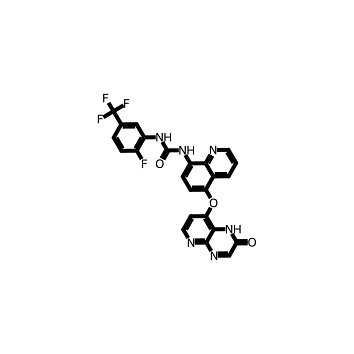 O=C(Nc1cc(C(F)(F)F)ccc1F)Nc1ccc(Oc2ccnc3ncc(=O)[nH]c23)c2cccnc12